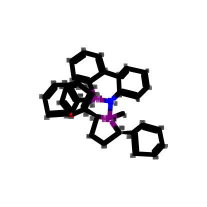 C[PH]1(N2c3ccccc3-c3ccccc3[PH]2(I)c2ccccc2)[C@H](c2ccccc2)CC[C@H]1c1ccccc1